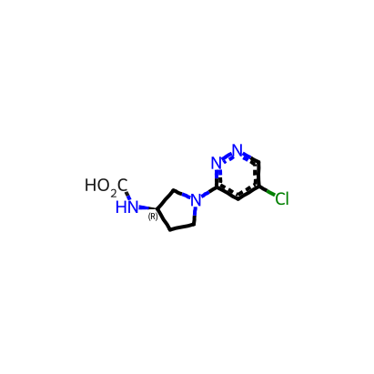 O=C(O)N[C@@H]1CCN(c2cc(Cl)cnn2)C1